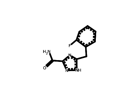 NC(=O)c1n[nH]c(Cc2ccccc2F)n1